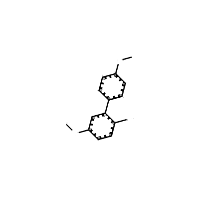 COc1ccc(-c2cc(OC)ccc2I)cc1